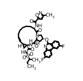 CCC(C)S(=O)(=O)NC(=O)[C@@]12C[C@H]1/C=C\CCCCC[C@H](NC(=O)c1cc(C)no1)C(=O)N1C[C@H](Oc3nc4cc(F)ccc4c4cc(F)ccc34)C[C@H]1C(=O)N2